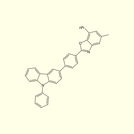 CCCc1cc(C)cc2nc(-c3ccc(-c4ccc5c(c4)c4ccccc4n5-c4ccccc4)cc3)oc12